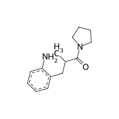 CC(Cc1ccccc1N)C(=O)N1CCCC1